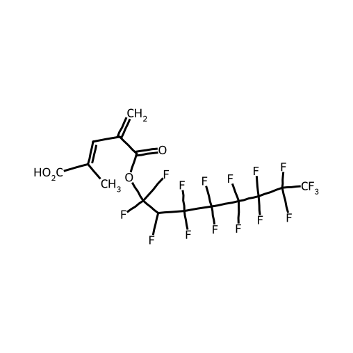 C=C(C=C(C)C(=O)O)C(=O)OC(F)(F)C(F)C(F)(F)C(F)(F)C(F)(F)C(F)(F)C(F)(F)C(F)(F)F